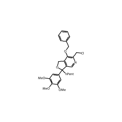 CCCCCC1(c2cc(OC)c(OC)c(OC)c2)OCc2c1cnc(CCl)c2OCc1ccccc1